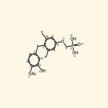 CC(=O)Oc1ccc(Cc2c(C)cc(OCP(=O)(O)O)cc2C)cc1C(C)C